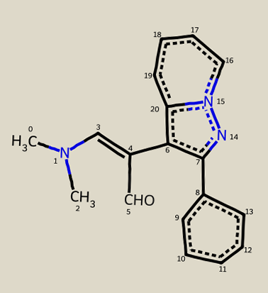 CN(C)C=C(C=O)c1c(-c2ccccc2)nn2ccccc12